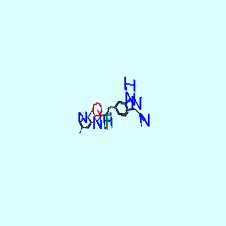 Cc1cnc(C)c(NC(=O)/C(F)=C/c2ccc3c(C#N)n[nH]c3c2)c1